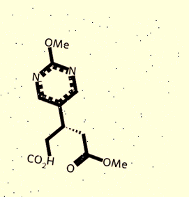 COC(=O)C[C@H](CC(=O)O)c1cnc(OC)nc1